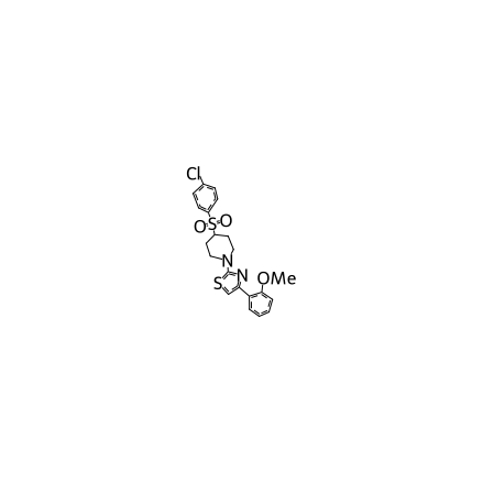 COc1ccccc1-c1csc(N2CCC(S(=O)(=O)c3ccc(Cl)cc3)CC2)n1